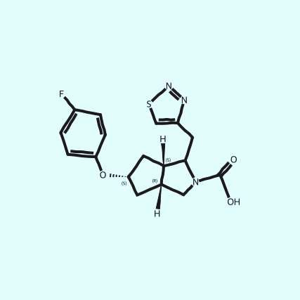 O=C(O)N1C[C@@H]2C[C@H](Oc3ccc(F)cc3)C[C@@H]2C1Cc1csnn1